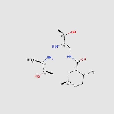 CC(C)C1CC[C@@H](C)C[C@H]1C(=O)NC[C@H](N)[C@@H](C)O.C[C@@H](O)[C@H](N)C(=O)O